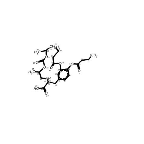 CCCC(=O)Oc1ccc(C[C@H](NCC(C)OC(=O)OC(C)C)C(=O)O)cc1OC(=O)CCC